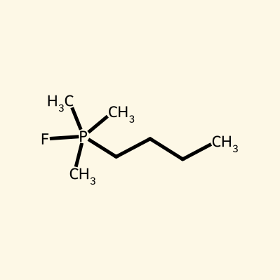 CCCCP(C)(C)(C)F